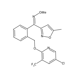 CON=C(c1cc(C)on1)c1ccccc1COc1ncc(Cl)cc1C(F)(F)F